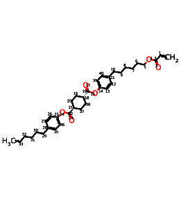 C=CC(=O)OCCCCCCc1ccc(OC(=O)[C@H]2CC[C@H](C(=O)Oc3ccc(CCCCCC)cc3)CC2)cc1